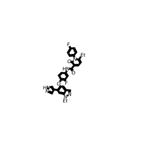 CCc1ccc(C(=O)Nc2ccc(Oc3cc4cnn(CC)c4cc3-c3cn[nH]c3)c(F)c2)c(=O)n1-c1ccc(F)cc1